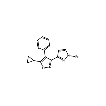 CC(C)n1ccc(-c2noc(C3CC3)c2-c2ccccn2)n1